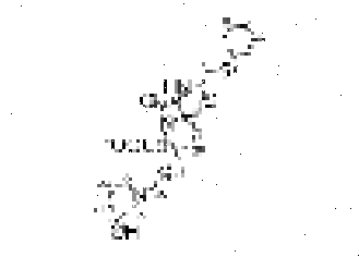 O=C(CSc1ccccc1)N[C@@H]1C(=O)N2C(C(=O)[O-])=C(C=CC[n+]3cccc(O)c3)CS[C@H]12